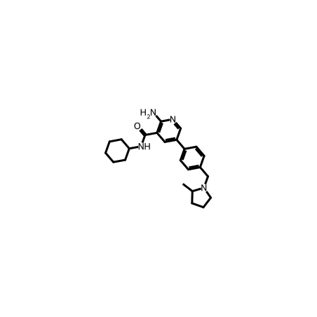 CC1CCCN1Cc1ccc(-c2cnc(N)c(C(=O)NC3CCCCC3)c2)cc1